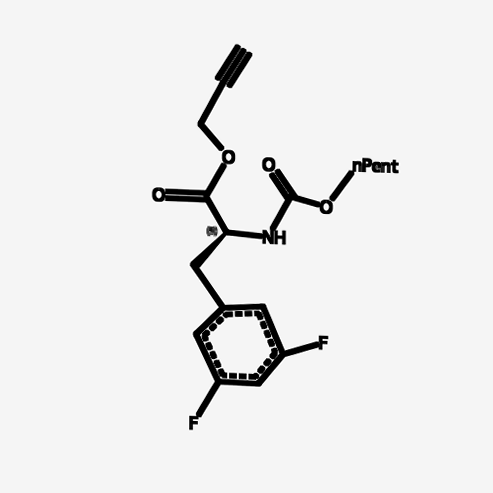 C#CCOC(=O)[C@H](Cc1cc(F)cc(F)c1)NC(=O)OCCCCC